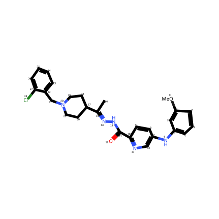 COc1cccc(Nc2ccc(C(=O)N/N=C(\C)C3CCN(Cc4ccccc4Cl)CC3)nc2)c1